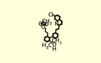 CC(C)(O)c1cccc(CCCOS(C)(=O)=O)c1-c1cccc(C=Cc2ccc3ccc(Cl)cc3n2)c1